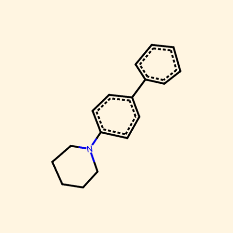 c1ccc(-c2ccc(N3CCCCC3)cc2)cc1